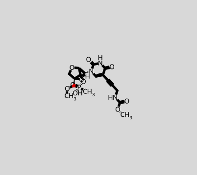 COC[C@]12COC([C@H](n3cc(C#CCNC(=O)OC)c(=O)[nH]c3=O)O1)[C@@H]2OP(C)(=O)O